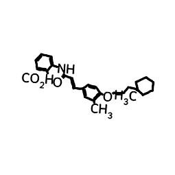 Cc1cc(/C=C/C(=O)Nc2ccccc2C(=O)O)ccc1OCCCC1(C)CCCCC1